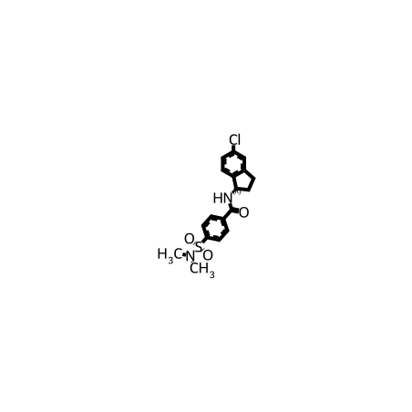 CN(C)S(=O)(=O)c1ccc(C(=O)N[C@@H]2CCc3cc(Cl)ccc32)cc1